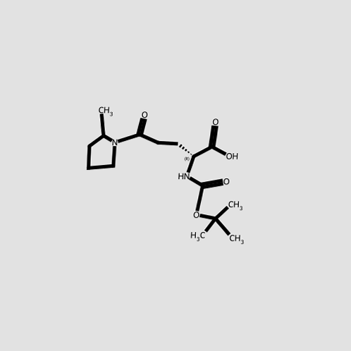 CC1CCCN1C(=O)CC[C@@H](NC(=O)OC(C)(C)C)C(=O)O